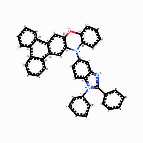 c1ccc(-c2nc3cc(N4c5ccccc5Oc5cc6c7ccccc7c7ccccc7c6cc54)ccc3n2-c2ccccc2)cc1